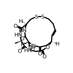 CC(C)[C@H]1NC(=O)C[C@H]2/C=C/CCSSC[C@@H](NC1=O)C(=O)N[C@H](C)C(=O)NCC(=O)O2